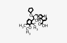 COc1c(C)ccc([C@@H](O)[C@H](Cn2cc3nccc(C(=O)O)c3n2)OC2CCCC2)c1C